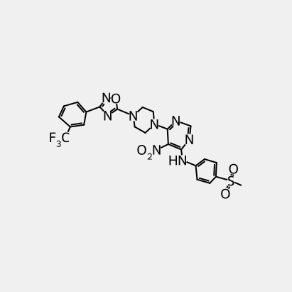 CS(=O)(=O)c1ccc(Nc2ncnc(N3CCN(c4nc(-c5cccc(C(F)(F)F)c5)no4)CC3)c2[N+](=O)[O-])cc1